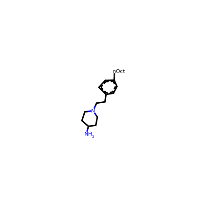 CCCCCCCCc1ccc(CCN2CCC(N)CC2)cc1